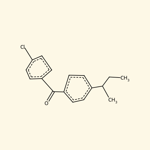 CCC(C)c1ccc(C(=O)c2ccc(Cl)cc2)cc1